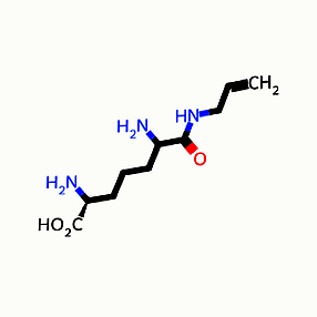 C=CCNC(=O)C(N)CCC[C@H](N)C(=O)O